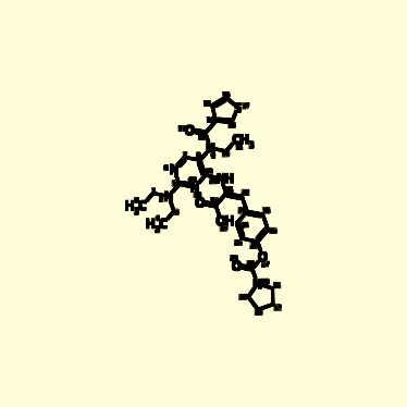 CCN(CC)c1ncc(N(CC)C(=O)c2ccsc2)c(N/C(=C/c2ccc(OC(=O)N3CCCC3)cc2)C(=O)O)n1